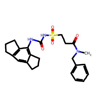 CN(Cc1ccccc1)C(=O)CCS(=O)(=O)NC(=O)Nc1c2c(cc3c1CCC3)CCC2